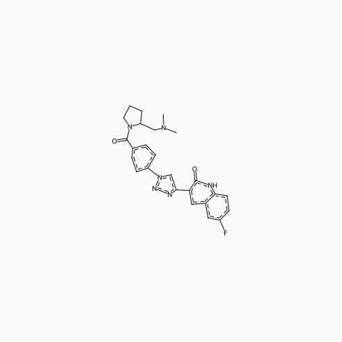 CN(C)CC1CCCN1C(=O)c1ccc(-n2cc(-c3cc4cc(F)ccc4[nH]c3=O)nn2)cc1